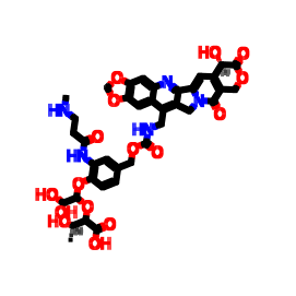 CNCCC(=O)Nc1cc(COC(=O)NCc2c3c(nc4cc5c(cc24)OCO5)-c2cc4c(c(=O)n2C3)COC(=O)[C@H]4O)ccc1OC(OC(C(=O)O)[C@H](C)O)C(O)O